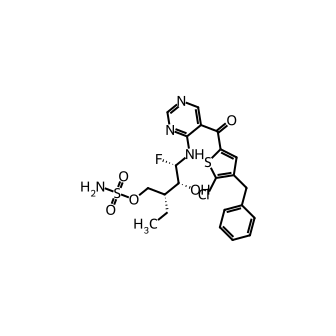 CC[C@H](COS(N)(=O)=O)[C@@H](O)[C@H](F)Nc1ncncc1C(=O)c1cc(Cc2ccccc2)c(Cl)s1